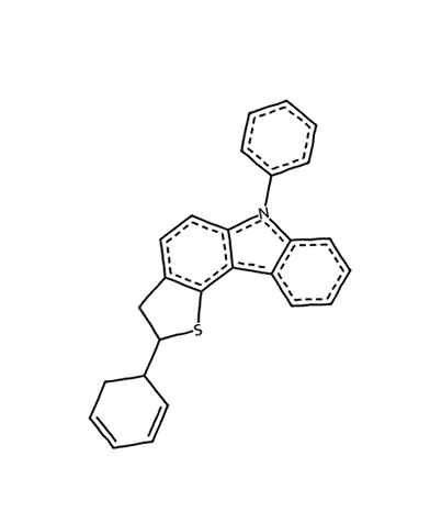 C1=CCC(C2Cc3ccc4c(c3S2)c2ccccc2n4-c2ccccc2)C=C1